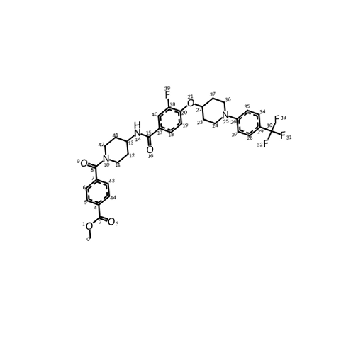 COC(=O)c1ccc(C(=O)N2CCC(NC(=O)c3ccc(OC4CCN(c5ccc(C(F)(F)F)cc5)CC4)c(F)c3)CC2)cc1